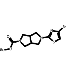 CC(C)(C)OC(=O)N1CC2CN(c3nc(Br)cs3)CC2C1